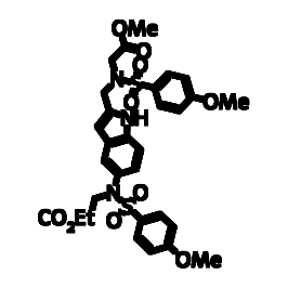 CCOC(=O)CN(c1ccc2[nH]c(CN(CC(=O)OC)S(=O)(=O)c3ccc(OC)cc3)cc2c1)S(=O)(=O)c1ccc(OC)cc1